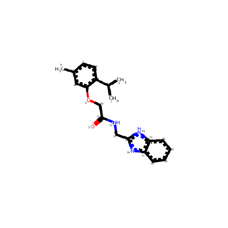 Cc1ccc(C(C)C)c(OCC(=O)NCc2nc3ccccc3[nH]2)c1